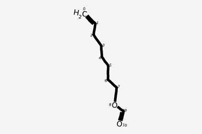 C=CCCCCCCO[C]=O